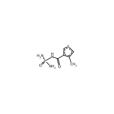 Cc1cscc1C(=O)NP(N)(N)=O